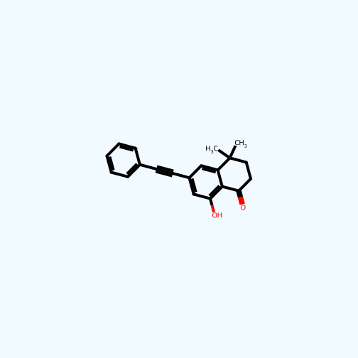 CC1(C)CCC(=O)c2c(O)cc(C#Cc3[c]cccc3)cc21